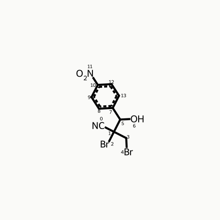 N#CC(Br)(CBr)C(O)c1ccc([N+](=O)[O-])cc1